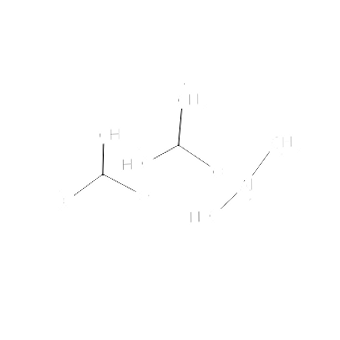 CC(C)[O-].CC(C)[O-].[CH3][Al+][CH3].[Li+]